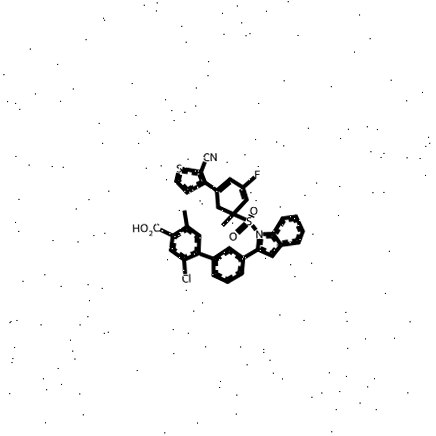 Cc1cc(-c2cccc(-c3cc4ccccc4n3S(=O)(=O)C3(C)C=C(F)C=C(c4ccsc4C#N)C3)c2)c(Cl)cc1C(=O)O